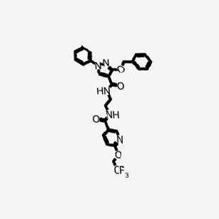 O=C(NCCNC(=O)c1cn(-c2ccccc2)nc1OCc1ccccc1)c1ccc(OCC(F)(F)F)nc1